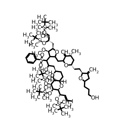 C=C1C(CC2O[C@H](C[C@@H](CO[Si](C)(C)C(C)(C)C)O[Si](C)(C)C(C)(C)C)[C@H](OC)C2C(C(O)C[C@H]2CC[C@@H]3O[C@@H]([C@H](/C=C/I)O[Si](C)(C)C(C)(C)C)[C@@H](O[Si](C)(C)C(C)(C)C)[C@@H](O[Si](C)(C)C(C)(C)C)[C@H]3O2)S(=O)(=O)c2ccccc2)O[C@@H](CC[C@@H]2OC(CCCO)CC2=C)C[C@H]1C